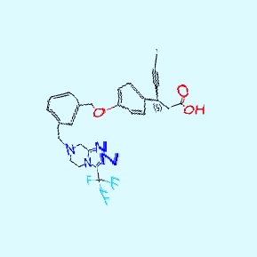 CC#C[C@@H](CC(=O)O)c1ccc(OCc2cccc(CN3CCn4c(nnc4C(F)(F)F)C3)c2)cc1